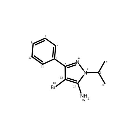 CC(C)n1nc(-c2ccccc2)c(Br)c1N